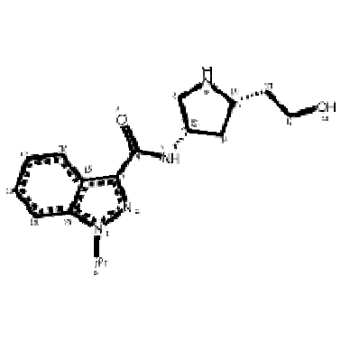 CC(C)n1nc(C(=O)N[C@@H]2CN[C@H](CCO)C2)c2ccccc21